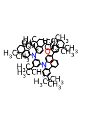 CC(C)(C)c1cc(N(c2ccc3c(c2)C(C)(C)CCC3(C)C)c2ccc3c(c2)C(C)(C)CCC3(C)C)cc(N(c2ccc3c(c2)oc2cc4c(cc23)C(C)(C)CCC4(C)C)c2ccc(C(C)(C)C)cc2-c2ccccc2)c1